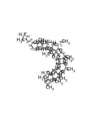 C=CC[C@H]1O[C@H]2C=C[C@H]3O[C@H]4[C@H](C)[C@H]5O[C@@H](/C=C/[C@H](C)CC)C=CC[C@@H]5O[C@@H]4C[C@@H]3O[C@@H]2C=C[C@@H]1O[C@@H]1C[C@@H](C)[C@]2(C)O[C@@H]3C[C@H](C)C[C@@H]4O[C@H]5[C@H](C[C@H]4O[C@H]3C[C@H]2O[C@H]1CC(=O)OC)O[C@@H]1[C@@H](C)[C@H](C)[C@@]2(C[C@H](C)CO2)O[C@H]1C(C)[C@@H]5C